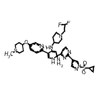 CN1CCC(Oc2ccc(C3=CNC(N)(c4ccnc(-c5cnn(S(=O)(=O)C6CC6)c5)n4)C=C3NC3CCN(CC(F)F)CC3)nc2)CC1